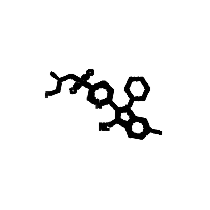 Cc1ccc2c(C#N)c(-c3ccc(S(=O)(=O)C[C@H](C)CF)cn3)n(C3CCCCC3)c2c1